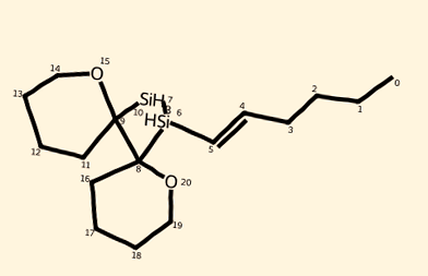 CCCCC=C[SiH](C)C1(C2([SiH3])CCCCO2)CCCCO1